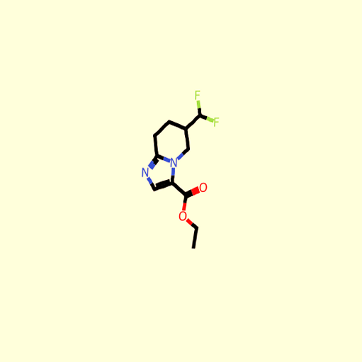 CCOC(=O)c1cnc2n1CC(C(F)F)CC2